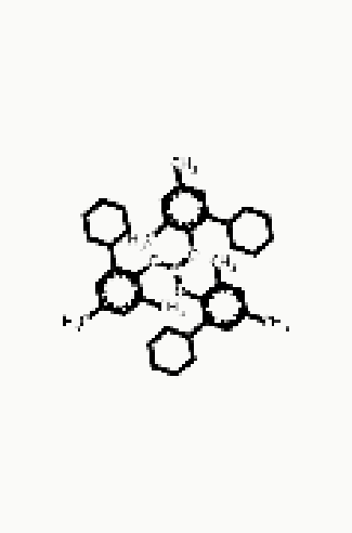 Cc1cc(C)c(OP(Oc2c(C)cc(C)cc2C2CCCCC2)Oc2c(C)cc(C)cc2C2CCCCC2)c(C2CCCCC2)c1